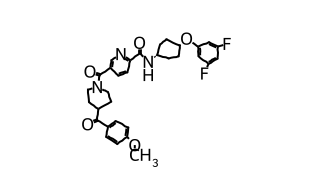 COc1ccc(C(=O)C2CCN(C(=O)c3ccc(C(=O)N[C@H]4CC[C@@H](Oc5cc(F)cc(F)c5)CC4)nc3)CC2)cc1